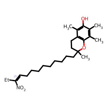 CC/C(=C/CCCCCCCCCC1(C)CCc2c(C)c(O)c(C)c(C)c2O1)[N+](=O)[O-]